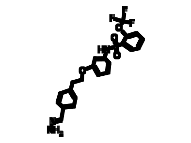 NN=Cc1ccc(CCOc2cccc(NS(=O)(=O)c3ccccc3OC(F)(F)F)c2)cc1